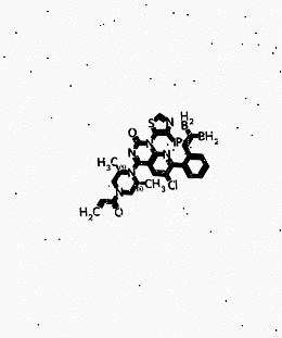 BC(B)=Cc1ccccc1-c1nc2c(cc1Cl)c(N1[C@@H](C)CN(C(=O)C=C)C[C@@H]1C)nc(=O)n2-c1scnc1C(C)C